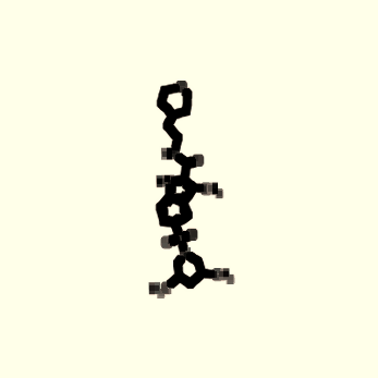 Cc1c(C(=O)NCCC2CCOCC2)[nH]c2ccc(S(=O)(=O)N3CC(C)CC(C)C3)cc12